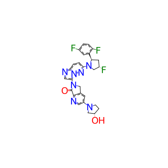 O=C1c2ncc(N3CC[C@H](O)C3)cc2CN1c1cnc2ccc(N3C[C@@H](F)C[C@@H]3c3cc(F)ccc3F)nn12